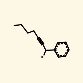 CCCCC#CC(O)c1ccccc1